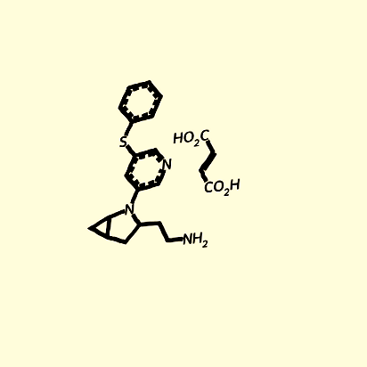 NCCC1CC2CC2N1c1cncc(Sc2ccccc2)c1.O=C(O)C=CC(=O)O